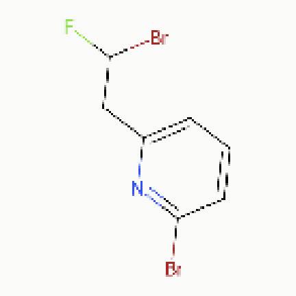 FC(Br)Cc1cccc(Br)n1